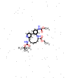 CCOC(=O)[C@H]1CC=CC[C@H](NC(=O)OC(C)(C)C)c2cc(ccn2)-c2ccc(NC(=O)OC)cc2N1